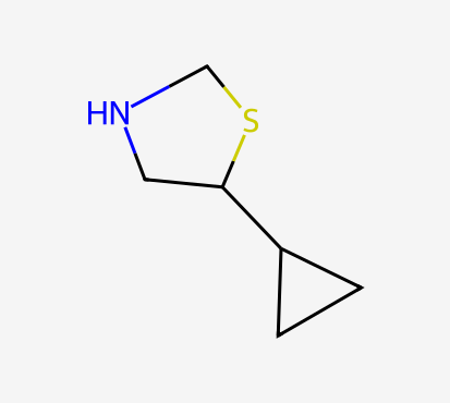 C1NCC(C2CC2)S1